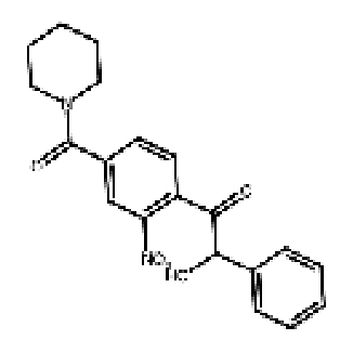 O=C(c1ccc(C(=O)N2CCCCC2)cc1[N+](=O)[O-])C(O)c1ccccc1